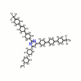 C=Cc1ccc(-c2ccc(-c3cc(-c4ccc(-c5ccc(-c6ccc(C(C)(C)C)cc6)cc5)cc4)nc(-c4ccc(-c5ccc(-c6ccc(C(C)(C)C)cc6)cc5)cc4)n3)cc2)cc1